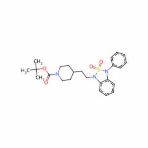 CC(C)(C)OC(=O)N1CCC(CCN2c3ccccc3N(c3ccccc3)S2(=O)=O)CC1